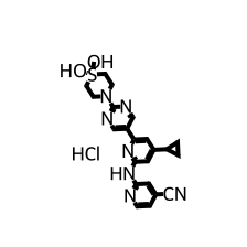 Cl.N#Cc1ccnc(Nc2cc(C3CC3)cc(-c3cnc(N4CCS(O)(O)CC4)nc3)n2)c1